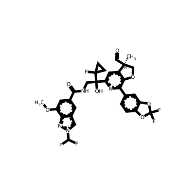 COc1cc(C(=O)NCC(O)(c2cc3c(c(-c4ccc5c(c4)OC(F)(F)O5)n2)OC[C@]3(C)C=O)C2(F)CC2)cc2cn(C(F)F)nc12